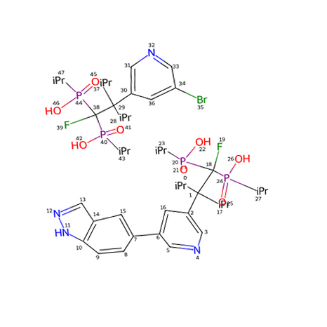 CC(C)C(c1cncc(-c2ccc3[nH]ncc3c2)c1)(C(C)C)C(F)(P(=O)(O)C(C)C)P(=O)(O)C(C)C.CC(C)C(c1cncc(Br)c1)(C(C)C)C(F)(P(=O)(O)C(C)C)P(=O)(O)C(C)C